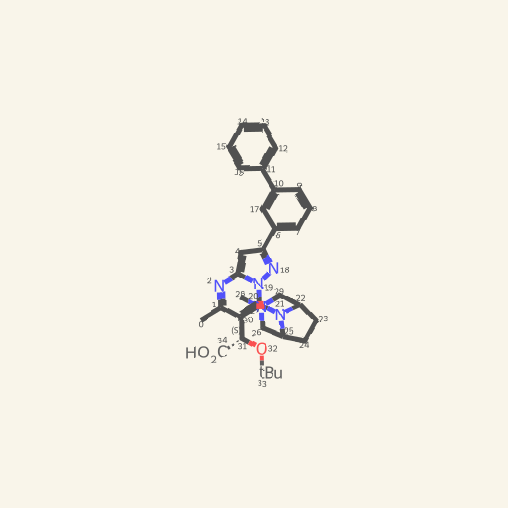 Cc1nc2cc(-c3cccc(-c4ccccc4)c3)nn2c(N2C3CCC2CN(C)C3)c1[C@H](OC(C)(C)C)C(=O)O